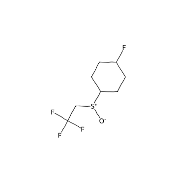 [O-][S+](CC(F)(F)F)C1CCC(F)CC1